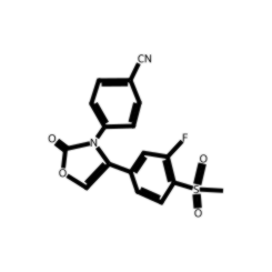 CS(=O)(=O)c1ccc(-c2coc(=O)n2-c2ccc(C#N)cc2)cc1F